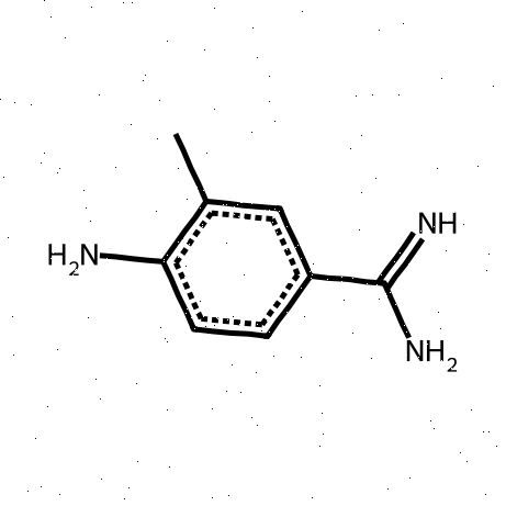 Cc1cc(C(=N)N)ccc1N